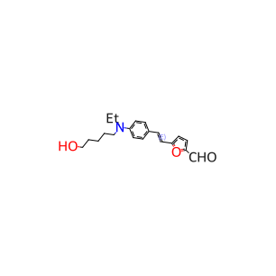 CCN(CCCCCO)c1ccc(/C=C/c2ccc(C=O)o2)cc1